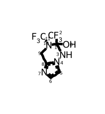 OC1(C(F)(F)F)Nn2ccnc2CN1C(F)(F)F